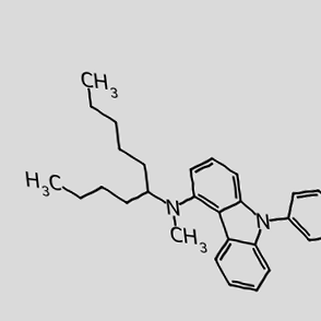 CCCCCC(CCCC)N(C)c1cccc2c1c1ccccc1n2-c1ccccc1